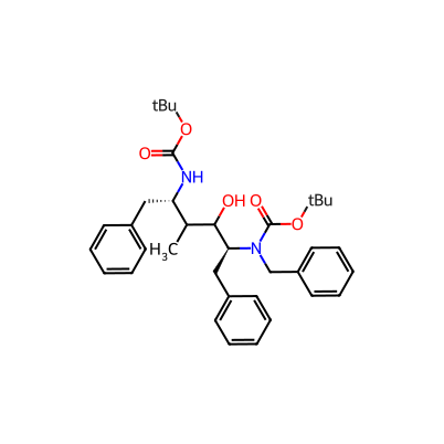 CC(C(O)[C@H](Cc1ccccc1)N(Cc1ccccc1)C(=O)OC(C)(C)C)[C@H](Cc1ccccc1)NC(=O)OC(C)(C)C